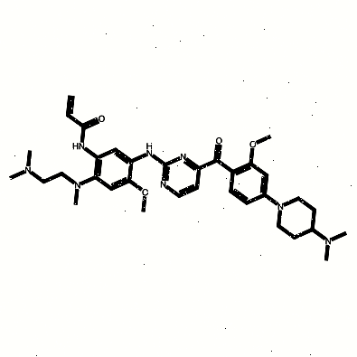 C=CC(=O)Nc1cc(Nc2nccc(C(=O)c3ccc(N4CCC(N(C)C)CC4)cc3OC)n2)c(OC)cc1N(C)CCN(C)C